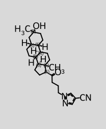 C[C@@]1(O)CC[C@H]2[C@H](CC[C@@H]3[C@@H]2CC[C@]2(C)[C@@H](C(=O)CCCn4cc(C#N)cn4)CC[C@@H]32)C1